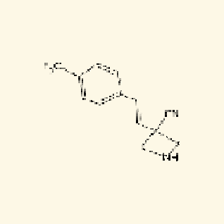 N#CC1(C=Cc2ccc(C(F)(F)F)cc2)CNC1